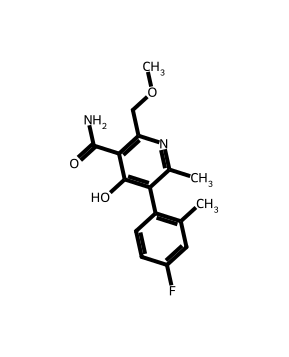 COCc1nc(C)c(-c2ccc(F)cc2C)c(O)c1C(N)=O